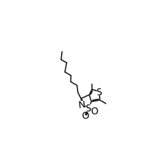 CCCCCCCCC1=NS(=O)(=O)c2c(C)sc(C)c21